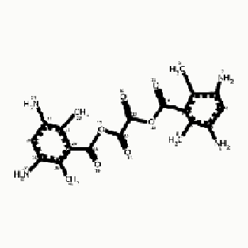 Cc1c(N)cc(N)c(C)c1C(=O)OC(=O)C(=O)OC(=O)c1c(C)c(N)cc(N)c1C